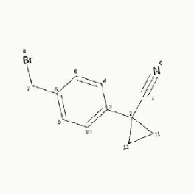 N#CC1(c2ccc(CBr)cc2)CC1